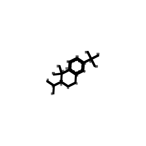 CC(C)N1CCc2cc(C(C)(C)C)ccc2C1(C)C